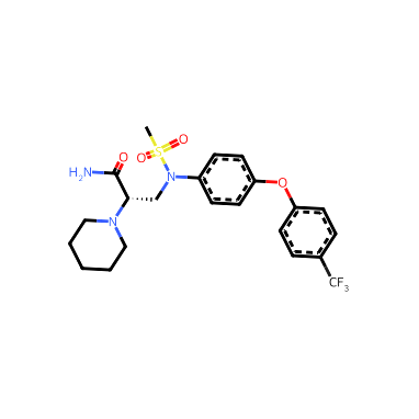 CS(=O)(=O)N(C[C@@H](C(N)=O)N1CCCCC1)c1ccc(Oc2ccc(C(F)(F)F)cc2)cc1